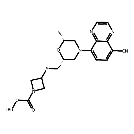 C[C@@H]1CN(c2ccc(C#N)c3nccnc23)C[C@H](CSC2CN(C(=O)OC(C)(C)C)C2)O1